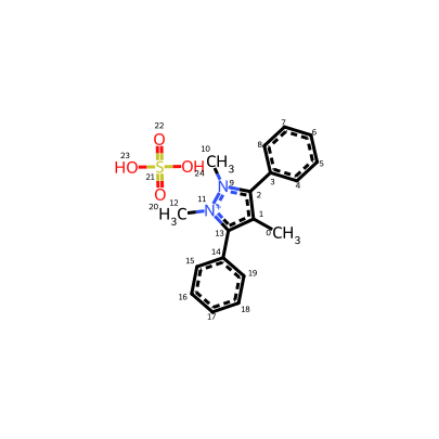 Cc1c(-c2ccccc2)n(C)[n+](C)c1-c1ccccc1.O=S(=O)(O)O